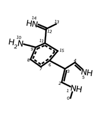 CN/C=C(\C=N)c1ccc(N)c(C(C)=N)c1